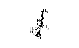 CCCCCCC(C)(C)N(C)CC1(C)COC1